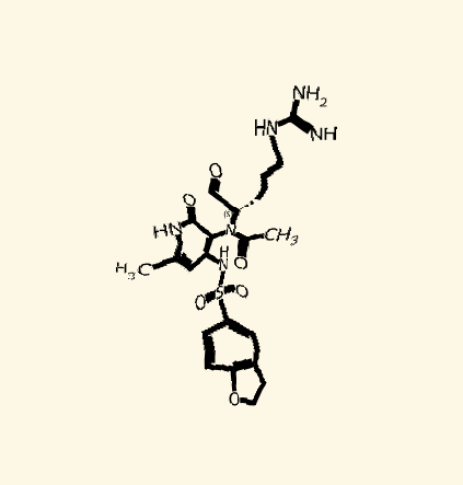 CC(=O)N(c1c(NS(=O)(=O)c2ccc3c(c2)CCO3)cc(C)[nH]c1=O)[C@H](C=O)CCCNC(=N)N